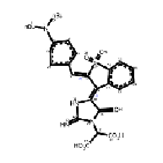 CCCCN(CCCC)c1ccc(/C=C2/C(=C3\NC(=N)N(C(C(=O)O)C(=O)O)C3=O)c3ccccc3S2(=O)=O)cc1